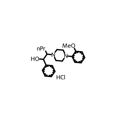 CCCC(C(O)c1ccccc1)N1CCN(c2ccccc2OC)CC1.Cl